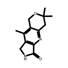 Cc1c2c(nc3c1CNC3=O)CC(C)(C)OC2